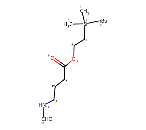 CCCC[Si](C)(C)CCOC(=O)CCCNC=O